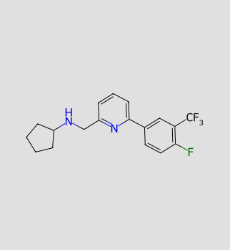 Fc1ccc(-c2cccc(CNC3CCCC3)n2)cc1C(F)(F)F